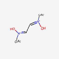 CC(=O)O[N+](O)=CC=[N+](O)OC(C)=O